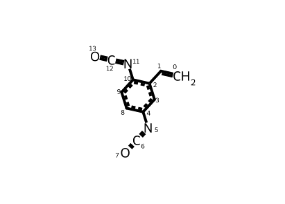 C=Cc1cc(N=C=O)ccc1N=C=O